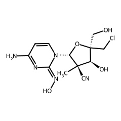 C[C@@]1(C#N)[C@H](O)[C@](CO)(CCl)O[C@H]1n1ccc(N)n/c1=N\O